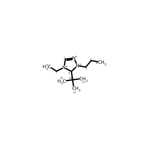 CCCN1N=CN(CC)C1C(C)(C)C